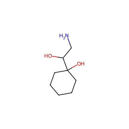 NCC(O)C1(O)CCCCC1